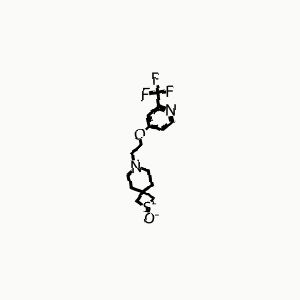 [O-][S+]1CC2(CCN(CCOc3ccnc(C(F)(F)F)c3)CC2)C1